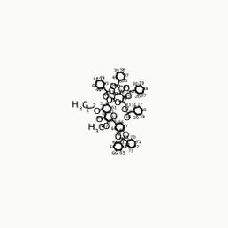 CCCOc1cc(O[C@@H]2OC(COC(=O)c3ccccc3)[C@@H](OC(=O)c3ccccc3)C(OC(=O)c3ccccc3)[C@@H]2OC(=O)c2ccccc2)cc2oc(-c3ccc4c(c3)OC(c3ccccc3)(c3ccccc3)O4)c(OC)c(=O)c12